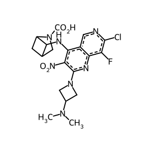 CN(C)C1CN(c2nc3c(F)c(Cl)ncc3c(NC3C4CC3N(C(=O)O)C4)c2[N+](=O)[O-])C1